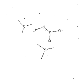 CCOP([O-])[O-].C[S+](C)C.C[S+](C)C